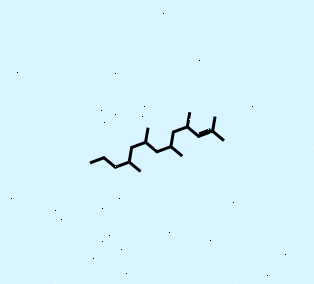 CCCC(C)CC(C)CC(C)CC(C)C=C(C)C